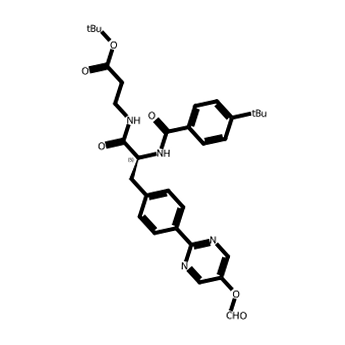 CC(C)(C)OC(=O)CCNC(=O)[C@H](Cc1ccc(-c2ncc(OC=O)cn2)cc1)NC(=O)c1ccc(C(C)(C)C)cc1